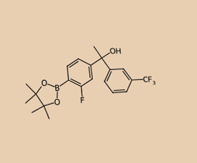 CC(O)(c1cccc(C(F)(F)F)c1)c1ccc(B2OC(C)(C)C(C)(C)O2)c(F)c1